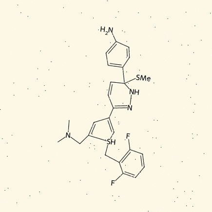 CSC1(c2ccc(N)cc2)C=CC(C2=C[SH](Cc3c(F)cccc3F)C(CN(C)C)=C2)=NN1